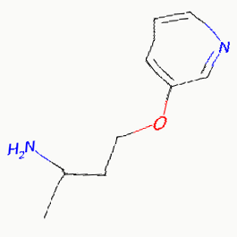 CC(N)CCOc1cccnc1